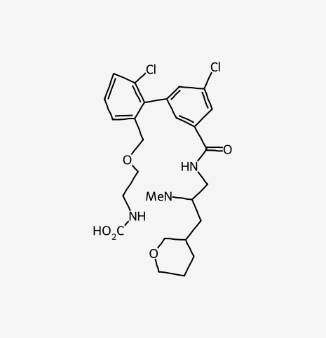 CNC(CNC(=O)c1cc(Cl)cc(-c2c(Cl)cccc2COCCNC(=O)O)c1)CC1CCCOC1